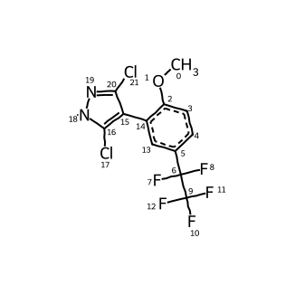 COc1ccc(C(F)(F)C(F)(F)F)cc1C1=C(Cl)[N]N=C1Cl